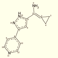 NC(=C1CC1)c1cc(-c2ccncc2)n[nH]1